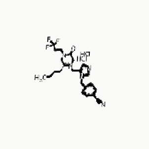 CCCC[C@H]1CN(CCC(F)(F)F)C(=O)CN1Cc1cncn1Cc1ccc(C#N)cc1.Cl.Cl